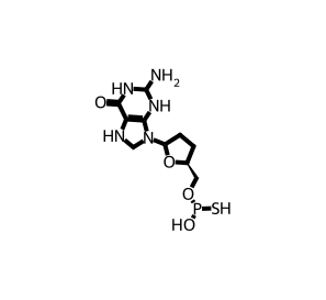 NC1NC(=O)C2=C(N1)N(C1CC[C@@H](COP(O)S)O1)CN2